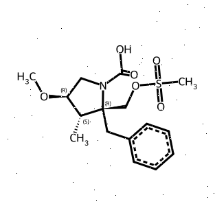 CO[C@H]1CN(C(=O)O)[C@](COS(C)(=O)=O)(Cc2ccccc2)[C@@H]1C